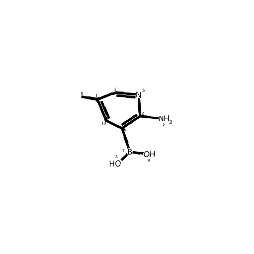 Cc1cnc(N)c(B(O)O)c1